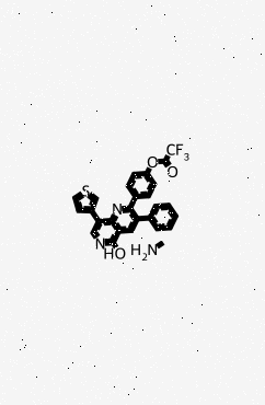 CN.O=C(Oc1ccc(-c2nc3c(-c4ccsc4)cnc(O)c3cc2-c2ccccc2)cc1)C(F)(F)F